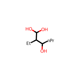 CCCC(O)C(CC)C(O)O